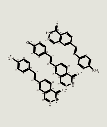 Cc1ccc(C=Cc2ccc3c(=O)[nH]ncc3c2)cc1.O=c1[nH]ncc2cc(C=Cc3ccc(Cl)cc3)ccc12.O=c1[nH]ncc2cc(C=Cc3ccc([N+](=O)[O-])cc3)ccc12